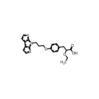 CCOC(Cc1ccc(OCCCn2c3sccc3c3ccsc32)cc1)C(=O)O